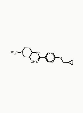 O=C(NC1CCN(C(=O)O)CC1O)c1ccc(OCC2CC2)cc1